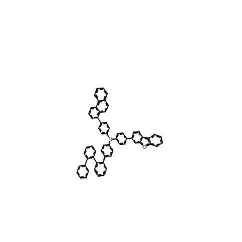 c1ccc(-c2ccccc2-c2ccccc2-c2ccc(N(c3ccc(-c4ccc5c(c4)oc4ccccc45)cc3)c3ccc(-c4cccc5c4ccc4ccccc45)cc3)cc2)cc1